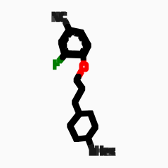 CCCCCCC1CCC(CCCOc2ccc(C#N)cc2F)CC1